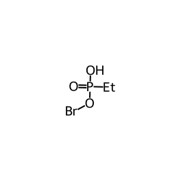 CCP(=O)(O)OBr